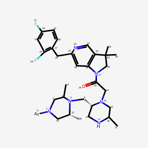 CC(=O)N1CC(C)N(C[C@H]2CNC(C)CN2CC(=O)N2CC(C)(C)c3cnc(Cc4ccc(F)cc4F)cc32)[C@H](C)C1